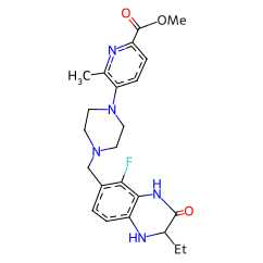 CCC1Nc2ccc(CN3CCN(c4ccc(C(=O)OC)nc4C)CC3)c(F)c2NC1=O